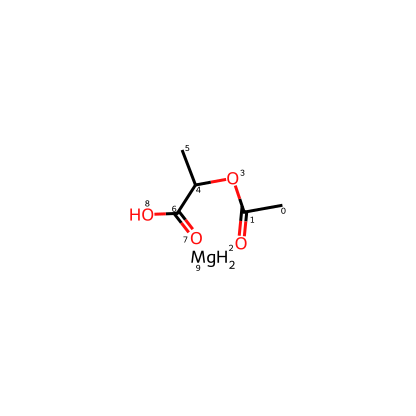 CC(=O)OC(C)C(=O)O.[MgH2]